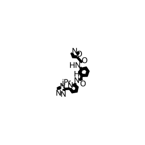 CC(C)n1cnnc1-c1cccc(NC(=O)c2cccc(NC(=O)c3ccno3)c2)n1